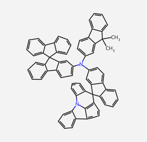 CC1(C)c2ccccc2-c2ccc(N(c3ccc4c(c3)C3(c5ccccc5-c5ccccc53)c3ccccc3-4)c3ccc4c(c3)C3(c5ccccc5-4)c4ccccc4-n4c5ccccc5c5cccc3c54)cc21